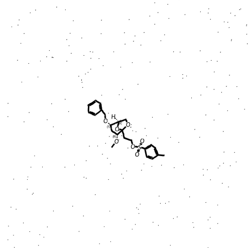 CO[C@@H]1C[C@H](OCc2ccccc2)[C@H]2COC1(CCOS(=O)(=O)c1ccc(C)cc1)O2